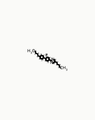 CCCCCc1ccc(-c2ccc(-c3ncc(CCCCC)cn3)cc2F)cc1